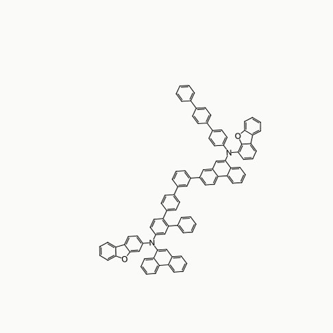 c1ccc(-c2ccc(-c3ccc(N(c4cc5cc(-c6cccc(-c7ccc(-c8ccc(N(c9ccc%10c(c9)oc9ccccc9%10)c9cc%10ccccc%10c%10ccccc9%10)cc8-c8ccccc8)cc7)c6)ccc5c5ccccc45)c4cccc5c4oc4ccccc45)cc3)cc2)cc1